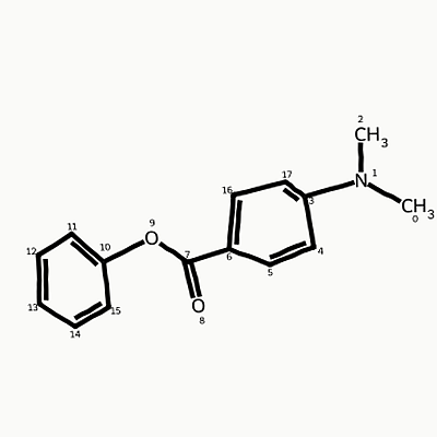 CN(C)c1ccc(C(=O)Oc2ccccc2)cc1